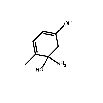 CC1=CC=C(O)CC1(N)O